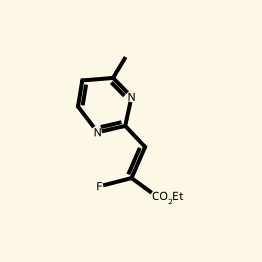 CCOC(=O)/C(F)=C/c1nccc(C)n1